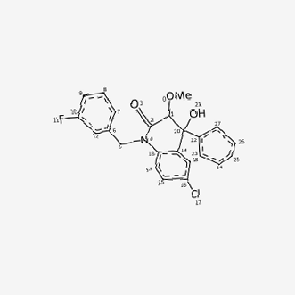 COC1C(=O)N(Cc2cccc(F)c2)c2ccc(Cl)cc2C1(O)c1ccccc1